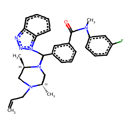 C=CCN1C[C@@H](C)N(C(c2cccc(C(=O)N(C)c3cccc(F)c3)c2)n2nnc3ccccc32)C[C@@H]1C